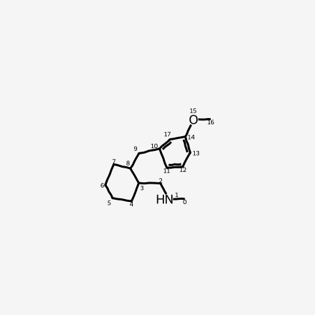 CNCC1CCCCC1Cc1cccc(OC)c1